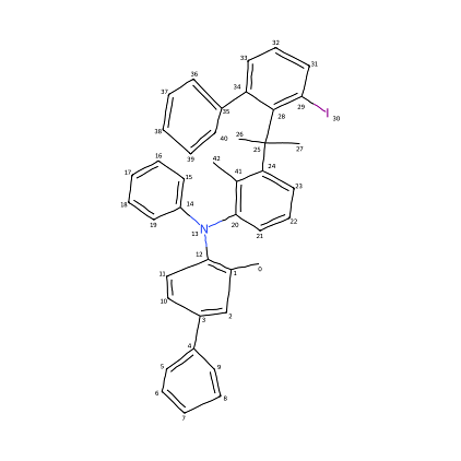 Cc1cc(-c2ccccc2)ccc1N(c1ccccc1)c1cccc(C(C)(C)c2c(I)cccc2-c2ccccc2)c1C